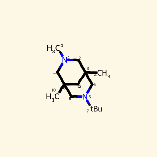 CN1CC2(C)CN(C(C)(C)C)CC(C)(C1)C2